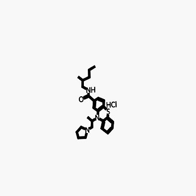 CCCC(C)CNC(=O)c1ccc2c(c1)N(C(C)CN1CCCC1)c1ccccc1S2.Cl